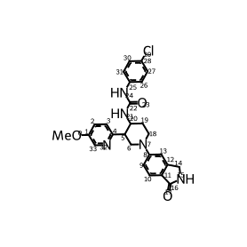 COc1ccc(C2CN(c3ccc4c(c3)CNC4=O)CCC2NC(=O)Nc2ccc(Cl)cc2)nc1